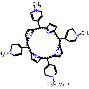 CN1C=CC(c2c3nc(c(C4=CCN(C)C=C4)c4ccc([nH]4)c(C4=CCN(C)C=C4)c4nc(c(C5=CCN(C)C=C5)c5ccc2[nH]5)C=C4)C=C3)=CC1.[Mn+3]